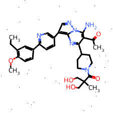 CCc1cc(-c2ccc(-c3cnn4c(N)c(C(C)=O)c(C5CCN(C(=O)C(C)(CO)CO)CC5)nc34)cn2)ccc1OC